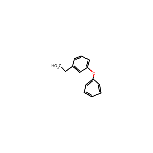 O=C(O)Cc1cccc(Oc2ccccc2)c1